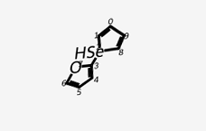 C1=C[SeH](c2ccco2)C=C1